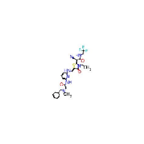 CCn1c(=C(C#N)C(=O)NCC(F)(F)F)sc(=CNc2cccc(NC(=O)CN(C)Cc3ccccc3)n2)c1=O